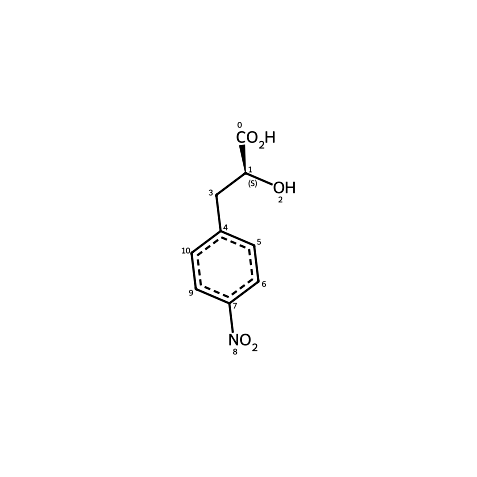 O=C(O)[C@@H](O)Cc1ccc([N+](=O)[O-])cc1